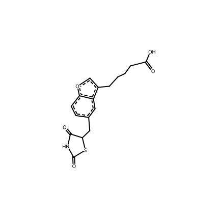 O=C(O)CCCCc1coc2ccc(CC3SC(=O)NC3=O)cc12